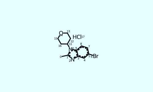 Cc1nc2cc(Br)ccc2n1C1CCOCC1.Cl